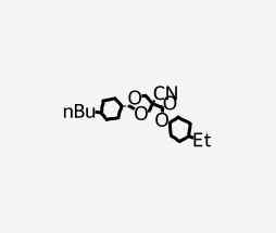 CCCCC1CCC([C@H]2OC[C@@](C#N)(C(=O)OC3CCC(CC)CC3)CO2)CC1